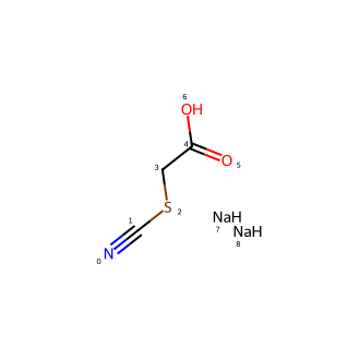 N#CSCC(=O)O.[NaH].[NaH]